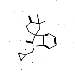 CC1(C)CC2(CCC1=O)C(=O)N(CC1CC1)c1ccccc12